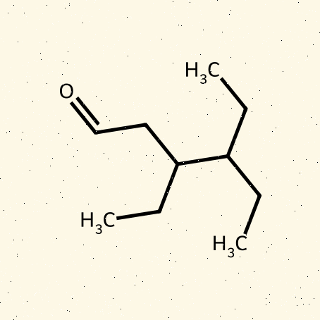 CCC(CC)C(CC)CC=O